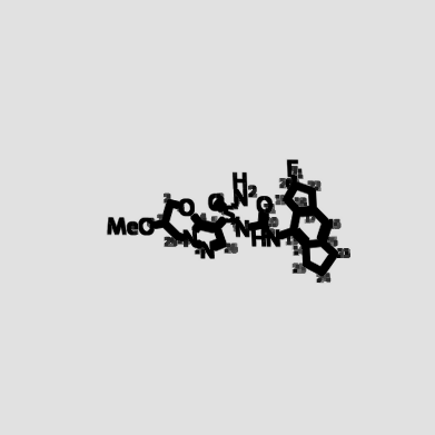 COC1COc2c(S(N)(=O)=NC(=O)Nc3c4c(cc5c3C[C@@H](F)C5)CCC4)cnn2C1